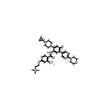 C[Si](C)(C)CCOc1cc(C(F)(F)F)c(C(=O)Nc2cc(-c3cnc(N4CCOCC4)nc3)c(F)cc2N2CCN(C3CC3)CC2)cn1